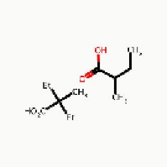 CCC(C)(CC)C(=O)O.CCC(C)C(=O)O